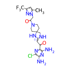 Cc1cc(C(F)(F)F)nn1CC(=O)N1CCC2(CC1)CN/C(=C\C(=O)c1nc(Cl)c(N)nc1N)N2